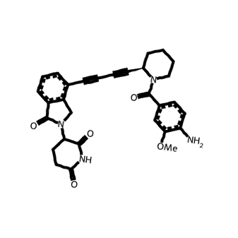 COc1cc(C(=O)N2CCCC[C@@H]2C#CC#Cc2cccc3c2CN(C2CCC(=O)NC2=O)C3=O)ccc1N